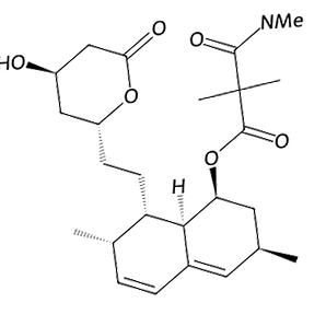 CNC(=O)C(C)(C)C(=O)O[C@H]1C[C@@H](C)C=C2C=C[C@H](C)[C@H](CC[C@@H]3C[C@@H](O)CC(=O)O3)[C@H]21